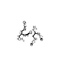 CC(CN=C=O)N=C=O.CCC(CN=C=O)N=C=O